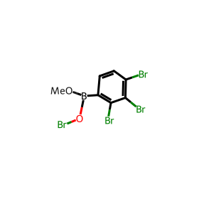 COB(OBr)c1ccc(Br)c(Br)c1Br